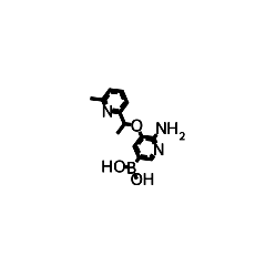 Cc1cccc(C(C)Oc2cc(B(O)O)cnc2N)n1